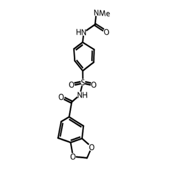 CNC(=O)Nc1ccc(S(=O)(=O)NC(=O)c2ccc3c(c2)OCO3)cc1